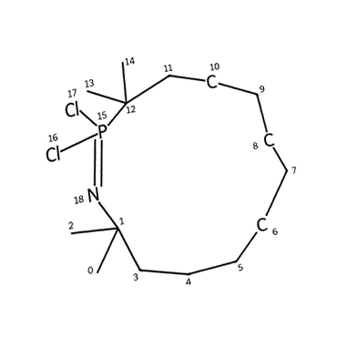 CC1(C)CCCCCCCCCC(C)(C)P(Cl)(Cl)=N1